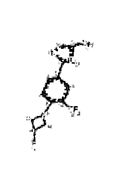 Oc1nnc(-c2ccc(N3CC(F)C3)c(C(F)(F)F)c2)o1